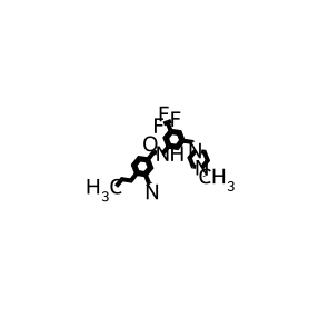 CCCc1ccc(C(=O)Nc2cc(CN3CCN(C)CC3)cc(C(F)(F)F)c2)cc1C#N